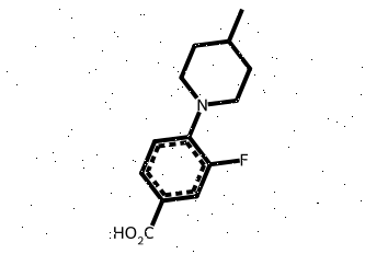 CC1CCN(c2ccc(C(=O)O)cc2F)CC1